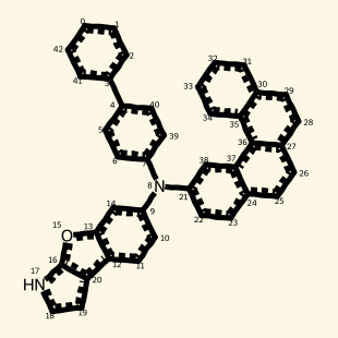 c1ccc(-c2ccc(N(c3ccc4c(c3)oc3[nH]ccc34)c3ccc4ccc5ccc6ccccc6c5c4c3)cc2)cc1